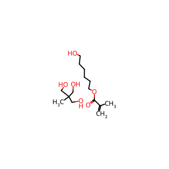 C=C(C)C(=O)OCCCCCCO.CC(CO)(CO)CO